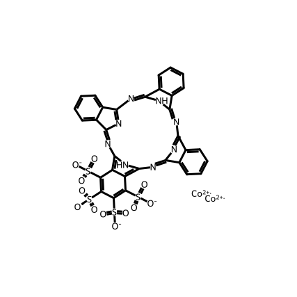 O=S(=O)([O-])c1c(S(=O)(=O)[O-])c(S(=O)(=O)[O-])c2c3nc4nc(nc5[nH]c(nc6nc(nc([nH]3)c2c1S(=O)(=O)[O-])-c1ccccc1-6)c1ccccc51)-c1ccccc1-4.[Co+2].[Co+2]